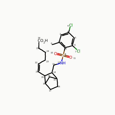 Cc1cc(Cl)cc(Cl)c1S(=O)(=O)NCC1C2CCC(C2)C1/C=C\CCCC(=O)O